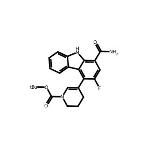 CC(C)(C)OC(=O)N1C=C(c2c(F)cc(C(N)=O)c3[nH]c4ccccc4c23)CCC1